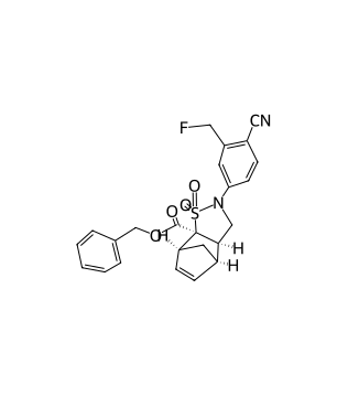 N#Cc1ccc(N2C[C@H]3[C@H]4C=C[C@H](C4)[C@@]3(C(=O)OCc3ccccc3)S2(=O)=O)cc1CF